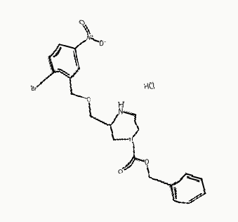 Cl.O=C(OCc1ccccc1)N1CCNC(COCc2cc([N+](=O)[O-])ccc2Br)C1